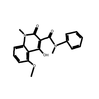 COc1cccc2c1c(O)c(C(=O)N(C)c1ccccc1)c(=O)n2C